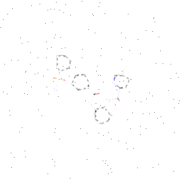 NS(=O)(=O)c1ccccc1-c1ccc(C(=O)Nc2ccccc2NC(=O)c2ccc(Br)cn2)cc1